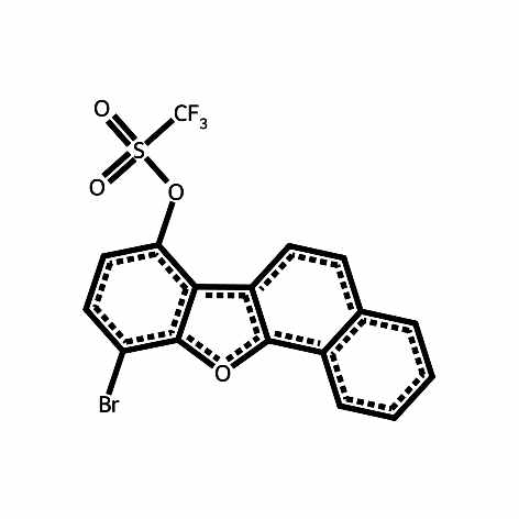 O=S(=O)(Oc1ccc(Br)c2oc3c4ccccc4ccc3c12)C(F)(F)F